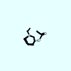 CC(=O)O.CCN1CCCCC1